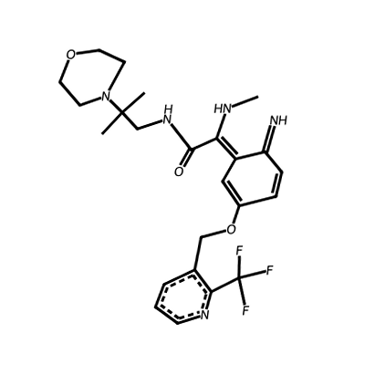 CN/C(C(=O)NCC(C)(C)N1CCOCC1)=C1/C=C(OCc2cccnc2C(F)(F)F)C=CC1=N